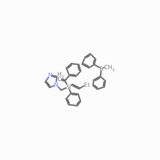 C=C(c1ccccc1)[Si](C=CCC)(Cn1ccnc1)c1ccccc1.CB(c1ccccc1)c1ccccc1